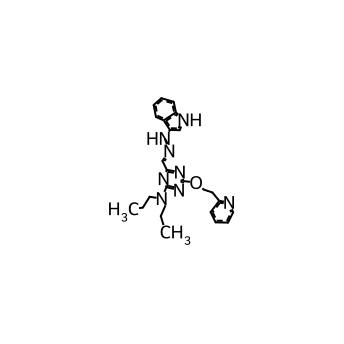 CCCN(CCC)c1nc(/C=N/Nc2c[nH]c3ccccc23)nc(OCCc2ccccn2)n1